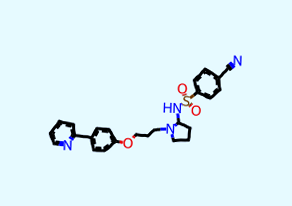 N#Cc1ccc(S(=O)(=O)NC2CCCN2CCCOc2ccc(-c3ccccn3)cc2)cc1